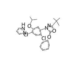 CC(C)Oc1cc(-n2nc(C(C)(C)C)oc2=O)c(Cl)cc1Cl.c1ccccc1.c1cn[nH]c1